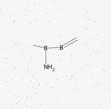 C=BB(C)N